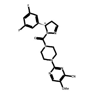 COc1cnc(N2CCN(C(=O)N3N=CC[C@H]3c3cc(F)cc(F)c3)CC2)nc1C#N